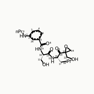 CCCNc1cccc(C(=O)N[C@@H](CO)C(=O)N[C@@H](CC(C)C)C(=O)C2(CO)CO2)c1